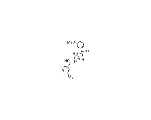 COc1cccc([C@]2(O)C[C@H]3CN(CC(O)c4cccc(C(F)(F)F)c4)C[C@H]3C2)c1